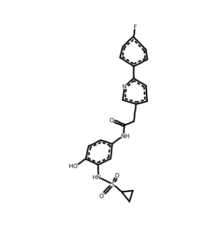 O=C(Cc1ccc(-c2ccc(F)cc2)nc1)Nc1ccc(O)c(NS(=O)(=O)C2CC2)c1